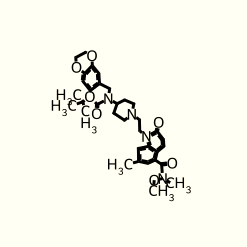 CON(C)C(=O)c1cc(C)cc2c1ccc(=O)n2CCN1CCC(N(Cc2ccc3c(c2)OCCO3)C(=O)OC(C)(C)C)CC1